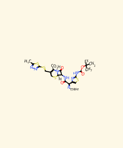 CCC(C)(C)OC(=O)Nc1nc(/C(=N\OC)C(=O)NC2C(=O)N3C(C(=O)O)=C(CSc4nnc(C)s4)CS[C@H]23)cs1